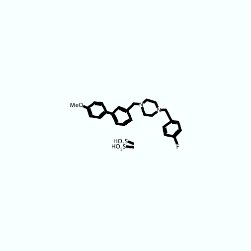 COc1ccc(-c2cccc(CN3CCN(Cc4ccc(F)cc4)CC3)c2)cc1.CS(=O)(=O)O.CS(=O)(=O)O